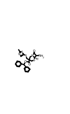 Cc1ncc(SCC2(C(=O)OC(c3ccccc3)c3ccccc3)CS[C@@H]3C(N)C(=O)N3C2)s1